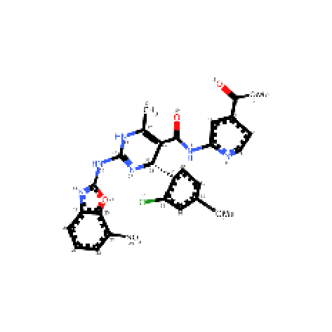 COC(=O)c1ccnc(NC(=O)C2=C(C)NC(Nc3nc4cccc([N+](=O)[O-])c4o3)=N[C@H]2c2ccc(OC)cc2Cl)c1